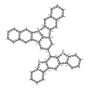 c1ccc2cc3c(cc2c1)c1cc(-c2c4oc5ccccc5c4cc4c2oc2ccccc24)cc2c4cc5ccccc5cc4n3c12